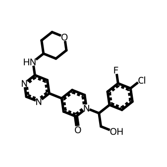 O=c1cc(-c2cc(NC3CCOCC3)ncn2)ccn1C(CO)c1ccc(Cl)c(F)c1